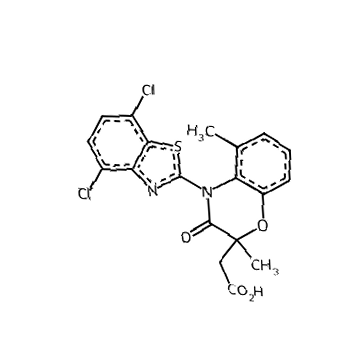 Cc1cccc2c1N(c1nc3c(Cl)ccc(Cl)c3s1)C(=O)C(C)(CC(=O)O)O2